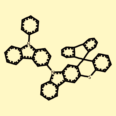 c1ccc(-n2c3ccccc3c3cc(-n4c5ccccc5c5cc6c(cc54)C4(c5ccccc5S6)c5ccccc5-c5ccccc54)ccc32)cc1